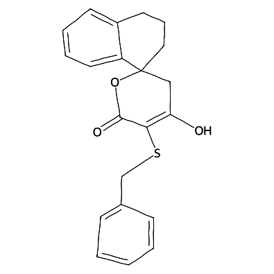 O=C1OC2(CCCc3ccccc32)CC(O)=C1SCc1ccccc1